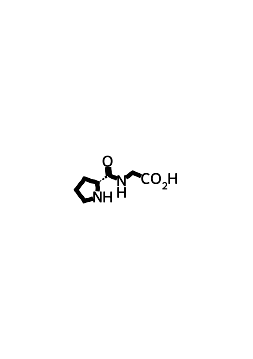 O=C(O)CNC(=O)[C@H]1CCCN1